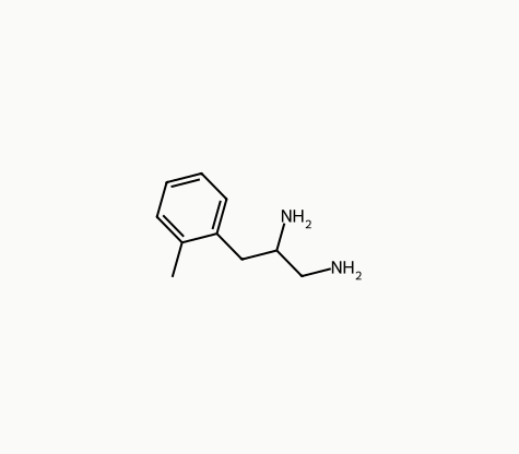 Cc1ccccc1CC(N)CN